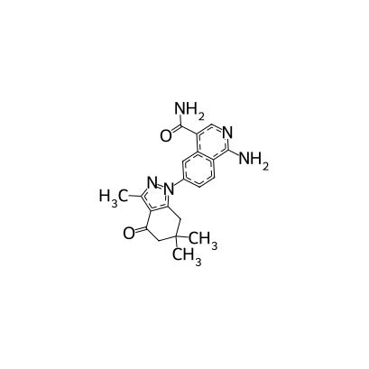 Cc1nn(-c2ccc3c(N)ncc(C(N)=O)c3c2)c2c1C(=O)CC(C)(C)C2